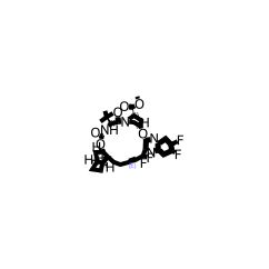 COC(=O)[C@@H]1C[C@@H]2CN1C(=O)[C@H](C(C)(C)C)NC(=O)O[C@@H]1C[C@@H]3CC[C@@H]3[C@H]1CC/C=C/C(F)(F)c1nc3cc(F)c(F)cc3nc1O2